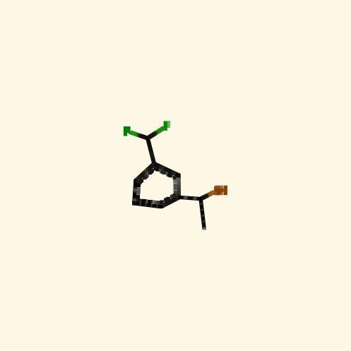 CC(S)c1cccc(C(F)F)c1